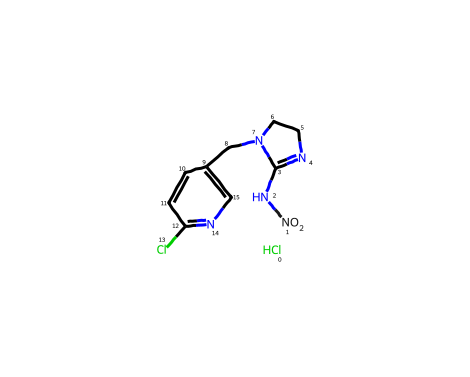 Cl.O=[N+]([O-])NC1=NCCN1Cc1ccc(Cl)nc1